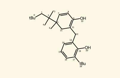 CC(C)(C)CC(C)(C)C1(C)C=CC(O)=C(Cc2cccc(C(C)(C)C)c2O)C1